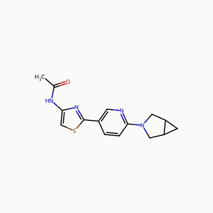 CC(=O)Nc1csc(-c2ccc(N3CC4CC4C3)nc2)n1